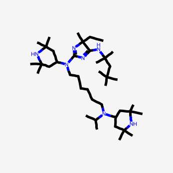 CCC1(C)N=C(N(CCCCCCN(C(C)C)C2CC(C)(C)NC(C)(C)C2)C2CC(C)(C)NC(C)(C)C2)N=C1NC(C)(C)CC(C)(C)C